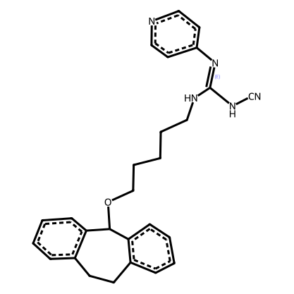 N#CN/C(=N/c1ccncc1)NCCCCCOC1c2ccccc2CCc2ccccc21